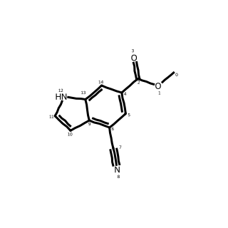 COC(=O)c1cc(C#N)c2cc[nH]c2c1